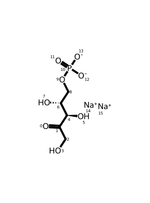 O=C(CO)[C@H](O)[C@H](O)COP(=O)([O-])[O-].[Na+].[Na+]